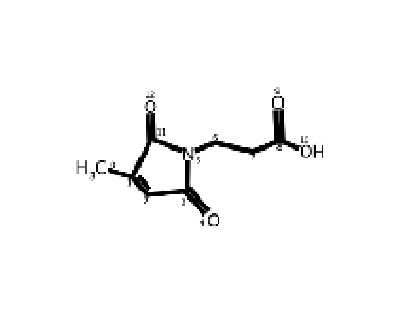 CC1=CC(=O)N(CCC(=O)O)C1=O